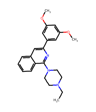 CCN1CCN(c2nc(-c3cc(OC)cc(OC)c3)cc3ccccc23)CC1